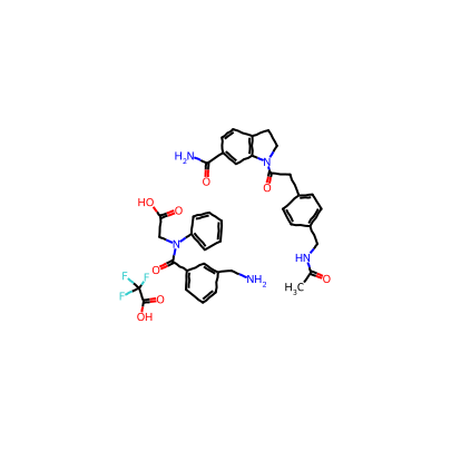 CC(=O)NCc1ccc(CC(=O)N2CCc3ccc(C(N)=O)cc32)cc1.NCc1cccc(C(=O)N(CC(=O)O)c2ccccc2)c1.O=C(O)C(F)(F)F